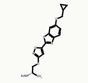 CC(=O)N[C@@H](C)COc1cc(-c2nc3ccc(OCC4CC4)cc3s2)on1